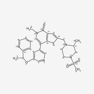 CC(Oc1cncc(-c2cn(C)c(=O)c3cc(CN4CCN(S(C)(=O)=O)CC4C)sc23)c1)c1ccccn1